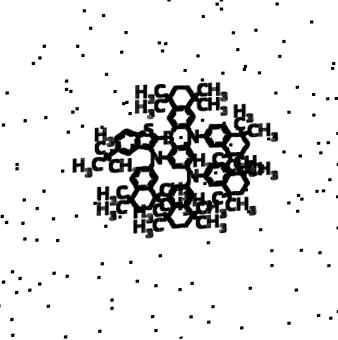 CC(C)(C)c1ccc2sc3c(c2c1)N(c1ccc2c(c1)C(C)(C)CCC2(C)C)c1cc(N(c2ccc4c(c2)C(C)(C)CCC4(C)C)c2ccc4c(c2)C(C)(C)CCC4(C)C)cc2c1B3c1cc3c(cc1N2c1ccc2c(c1)C(C)(C)CCC2(C)C)C(C)(C)CCC3(C)C